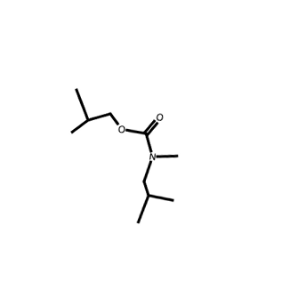 CC(C)COC(=O)N(C)CC(C)C